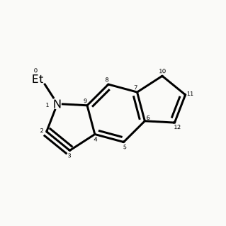 CCn1c#cc2cc3c(cc21)CC=C3